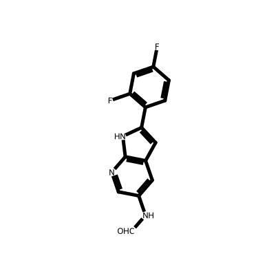 O=CNc1cnc2[nH]c(-c3ccc(F)cc3F)cc2c1